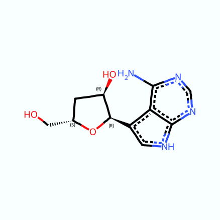 Nc1ncnc2[nH]cc([C@H]3O[C@H](CO)C[C@H]3O)c12